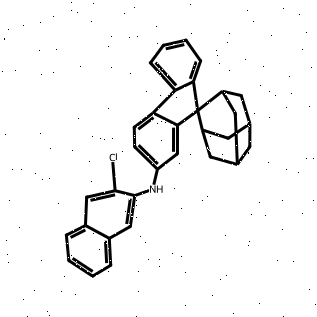 Clc1cc2ccccc2cc1Nc1ccc2c(c1)C1(c3ccccc3-2)C2CC3CC(C2)CC1C3